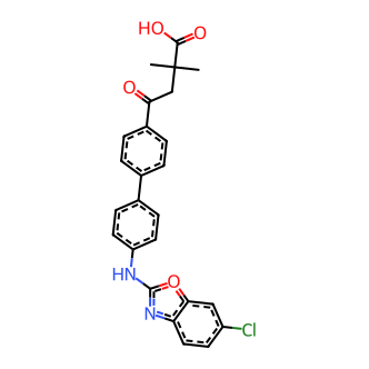 CC(C)(CC(=O)c1ccc(-c2ccc(Nc3nc4ccc(Cl)cc4o3)cc2)cc1)C(=O)O